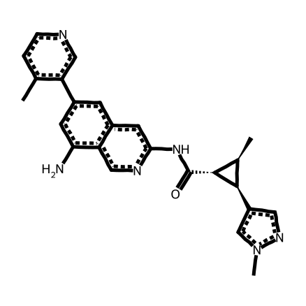 Cc1ccncc1-c1cc(N)c2cnc(NC(=O)[C@@H]3[C@@H](C)[C@H]3c3cnn(C)c3)cc2c1